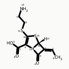 CC=C1C(=O)N2C(C(=O)O)=C(SCCN)S[C@H]12